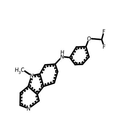 Cn1c2ccncc2c2ccc(Nc3cccc(OC(F)F)c3)cc21